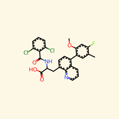 COc1cc(F)c(C)cc1-c1ccc(CC(NC(=O)c2c(Cl)cccc2Cl)C(=O)O)c2ncccc12